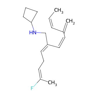 C=C(/C=C\C)/C=C\C(=C/C/C=C(\C)F)CNC1CCC1